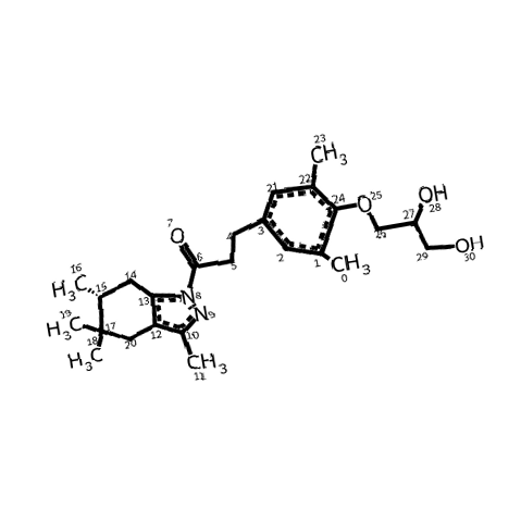 Cc1cc(CCC(=O)n2nc(C)c3c2C[C@@H](C)C(C)(C)C3)cc(C)c1OCC(O)CO